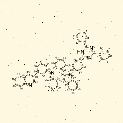 c1ccc(C2=NC(c3ccccc3)NC(c3ccc(-n4c5c(c6ccccc64)-c4ccccc4N(c4cccc(-c6cnc7ccccc7c6)c4)c4ccccc4-5)cc3)=N2)cc1